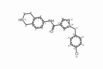 O=C(Nc1ccc2c(c1)CCNC2)c1cnn(Cc2ccc(Cl)cc2)c1